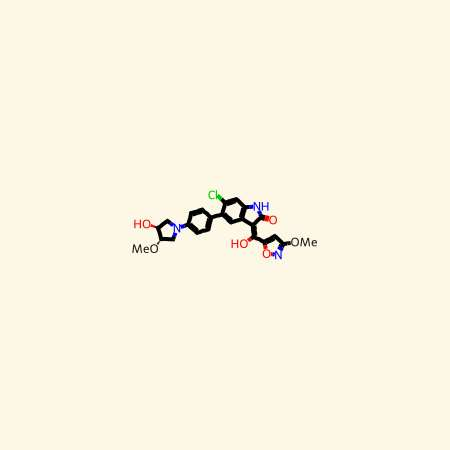 COc1cc(C(O)=C2C(=O)Nc3cc(Cl)c(-c4ccc(N5C[C@H](OC)[C@@H](O)C5)cc4)cc32)on1